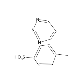 Cc1ccc(S(=O)(=O)O)cc1.c1cnnnc1